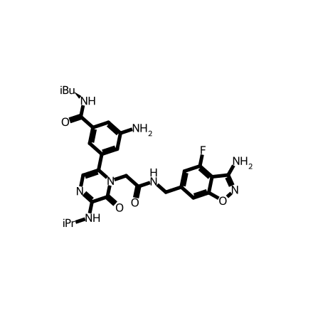 CC[C@H](C)NC(=O)c1cc(N)cc(-c2cnc(NC(C)C)c(=O)n2CC(=O)NCc2cc(F)c3c(N)noc3c2)c1